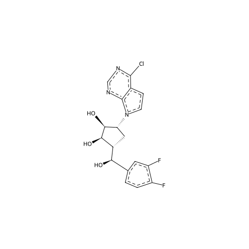 O[C@@H]1[C@H](O)[C@@H]([C@H](O)c2ccc(F)c(F)c2)C[C@H]1n1ccc2c(Cl)ncnc21